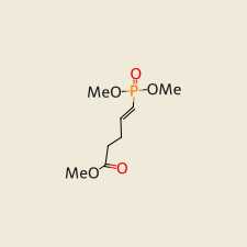 COC(=O)CC/C=C/P(=O)(OC)OC